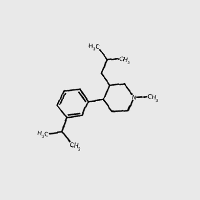 CC(C)CC1CN(C)CCC1c1cccc(C(C)C)c1